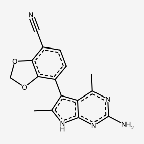 Cc1[nH]c2nc(N)nc(C)c2c1-c1ccc(C#N)c2c1OCO2